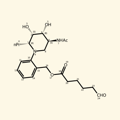 CCC[C@@H]1[C@H](O)[C@H](O)[C@@H](NC(C)=O)CN1c1ccccc1COC(=O)CCCCC=O